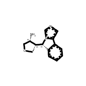 N[C@H]1COC[C@H]1[C@H]1c2ccccc2-c2cncn21